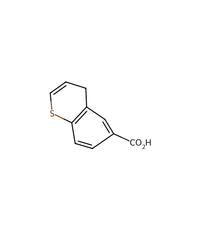 O=C(O)c1ccc2c(c1)CC=CS2